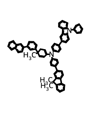 CC1(c2cccc(-c3ccc4ccccc4c3)c2)C=CC(N(c2ccc(-c3ccc4c(c3)C(C)(C)c3ccccc3-4)cc2)c2ccc(-c3ccc4c(c3)c3ccccc3n4-c3ccccc3)cc2)=CC1